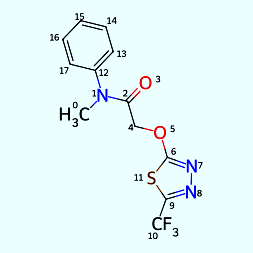 CN(C(=O)COc1nnc(C(F)(F)F)s1)c1ccccc1